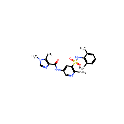 COc1ncc(NC(=O)c2ncn(C)c2C)cc1S(=O)(=O)Nc1c(C)cccc1C